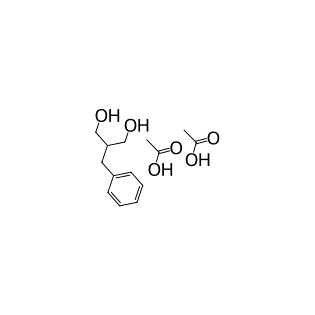 CC(=O)O.CC(=O)O.OCC(CO)Cc1ccccc1